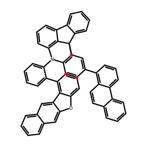 CC12c3ccccc3-c3cccc(c31)N(c1ccccc1-c1cccc3oc4cc5ccccc5cc4c13)c1ccc(-c3cccc4c3ccc3ccccc34)cc12